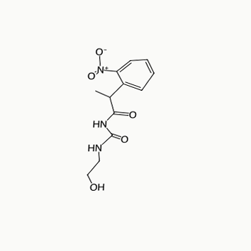 CC(C(=O)NC(=O)NCCO)c1ccccc1[N+](=O)[O-]